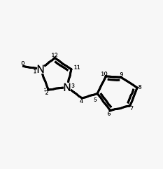 CN1[C]N(Cc2ccccc2)C=C1